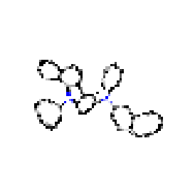 c1ccc(-n2c3ccc4c(c5ccccc5n4-c4ccc5ccccc5c4)c3c3ccc4ccccc4c32)cc1